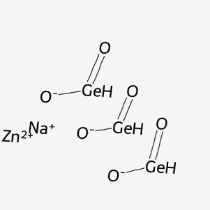 [Na+].[O]=[GeH][O-].[O]=[GeH][O-].[O]=[GeH][O-].[Zn+2]